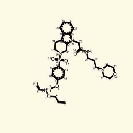 C=CCONC=O.COc1ccc(S(=O)(=O)N2CCc3c(n(CC(=O)NCCCN4CCOCC4)c4ccccc34)C2)cc1